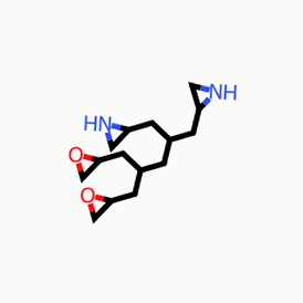 C(C(CC1CN1)CC1CN1)C(CC1CO1)CC1CO1